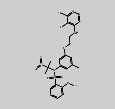 CCOc1ccccc1S(=O)(=O)N(c1cc(C)cc(OCCNc2cnnc(Cl)c2Cl)c1)C(C)(C)P(=O)=O